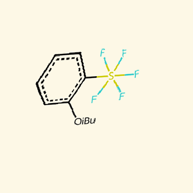 CC(C)COc1ccccc1S(F)(F)(F)(F)F